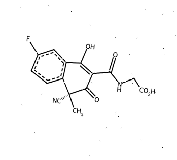 C[C@]1(C#N)C(=O)C(C(=O)NCC(=O)O)=C(O)c2cc(F)ccc21